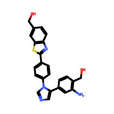 Nc1cc(-c2cncn2-c2ccc(-c3nc4ccc(CO)cc4s3)cc2)ccc1CO